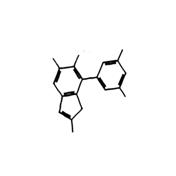 COc1c(C(C)(C)C)cc2c(c1-c1cc(C)cc(C)c1)CC(C)=C2